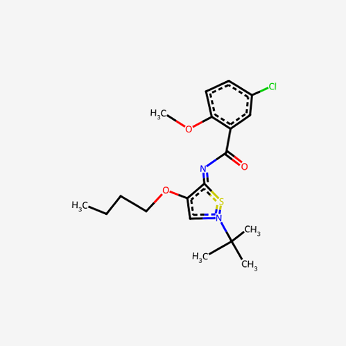 CCCCOc1cn(C(C)(C)C)sc1=NC(=O)c1cc(Cl)ccc1OC